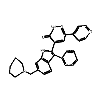 O=c1[nH]nc(-c2ccncc2)cc1-c1[nH]c2cc(CN3CCCCC3)ccc2c1-c1ccccc1